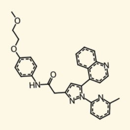 COCCOc1ccc(NC(=O)Cc2cc(-c3ccnc4ccccc34)n(-c3cccc(C)n3)n2)cc1